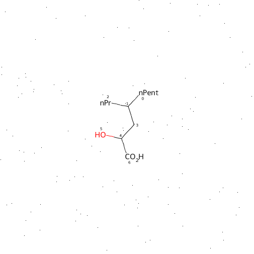 CCCCCC(CCC)CC(O)C(=O)O